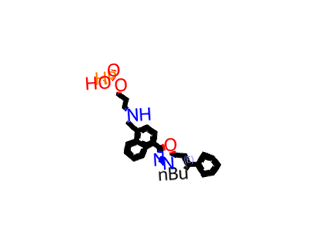 CCCC/C(=C\c1nnc(-c2ccc(CNCCCO[PH](=O)O)c3ccccc23)o1)c1ccccc1